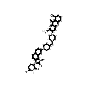 Cn1c(=O)n(C2CCC(=O)NC2=O)c2ccc3ccc(N4CCC(CN5CCN(c6cc7oc8cccc(Cl)c8c(=O)c7nc6N)CC5)CC4)cc3c21